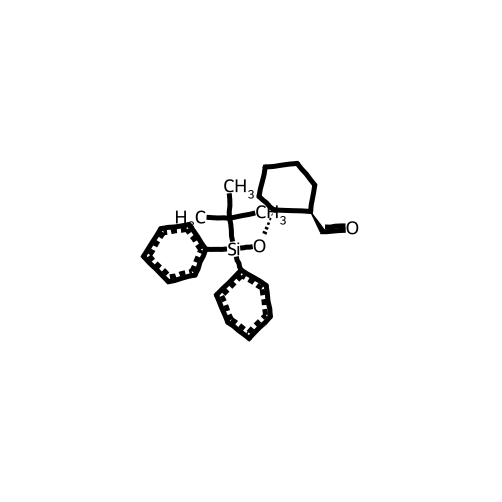 CC(C)(C)[Si](O[C@@H]1CCCC[C@H]1C=O)(c1ccccc1)c1ccccc1